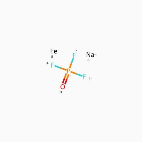 O=P(F)(F)F.[Fe].[Na]